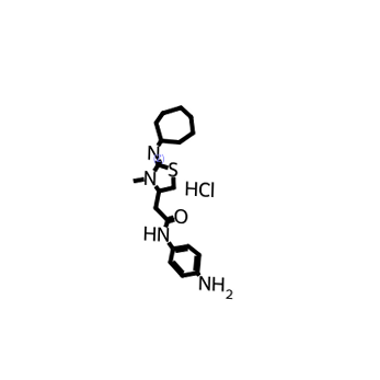 CN1/C(=N/C2CCCCCC2)SCC1CC(=O)Nc1ccc(N)cc1.Cl